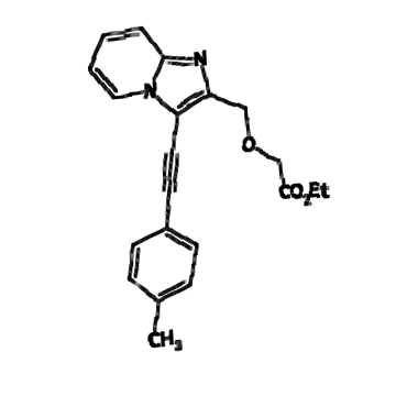 CCOC(=O)COCc1nc2ccccn2c1C#Cc1ccc(C)cc1